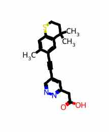 Cc1cc2c(cc1C#Cc1cnnc(CC(=O)O)c1)C(C)(C)CCS2